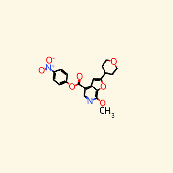 COc1ncc(C(=O)Oc2ccc([N+](=O)[O-])cc2)c2cc(C3CCOCC3)oc12